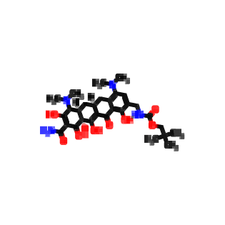 CN(C)c1cc(CNC(=O)OCC(C)(C)C)c(O)c2c1C[C@@H]1C[C@@H]3C(N(C)C)C(O)=C(C(N)=O)C(=O)[C@]3(O)C(O)=C1C2=O